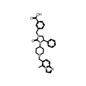 Cc1c(CN2CCC(N3C(=O)N(Cc4cccc(C(=O)O)c4)CC3c3ccccc3)CC2)ccc2nccn12